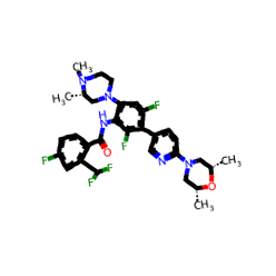 C[C@@H]1CN(c2ccc(-c3c(F)cc(N4CCN(C)[C@@H](C)C4)c(NC(=O)c4ccc(F)cc4C(F)F)c3F)cn2)C[C@H](C)O1